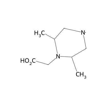 CC1C[N]CC(C)N1CC(=O)O